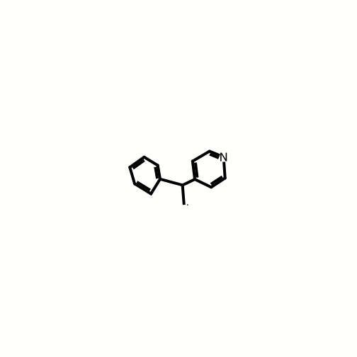 [CH2]C(c1ccccc1)c1ccncc1